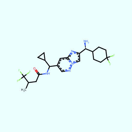 CC(CC(=O)NC(c1cnn2cc([C@@H](N)C3CCC(F)(F)CC3)nc2c1)C1CC1)C(F)(F)F